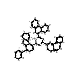 c1ccc(-c2ccc(C3N=C(c4ccc5ccc6ccccc6c5c4)N=C(c4cc5ccccc5c5ccccc45)N3)c3c2oc2ccccc23)cc1